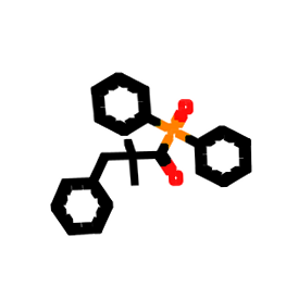 CC(C)(Cc1ccccc1)C(=O)P(=O)(c1ccccc1)c1ccccc1